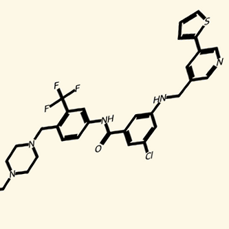 CCN1CCN(Cc2ccc(NC(=O)c3cc(Cl)cc(NCc4cncc(-c5cccs5)c4)c3)cc2C(F)(F)F)CC1